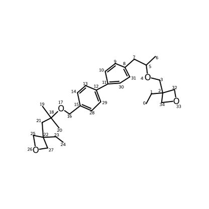 CCC1(COC(C)Cc2ccc(-c3ccc(COC(C)(C)CC4(CC)COC4)cc3)cc2)COC1